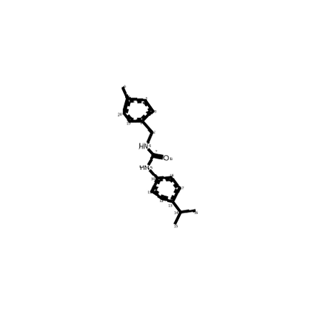 Cc1ccc(CNC(=O)Nc2ccc(C(C)C)cc2)cc1